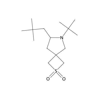 CC(C)(C)CC1CC2(CN1C(C)(C)C)CS(=O)(=O)C2